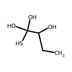 CCC(O)C(O)(O)S